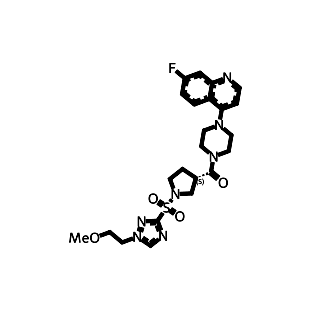 COCCn1cnc(S(=O)(=O)N2CC[C@H](C(=O)N3CCN(c4ccnc5cc(F)ccc45)CC3)C2)n1